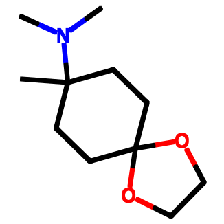 CN(C)C1(C)CCC2(CC1)OCCO2